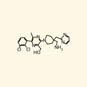 Cc1nc(N2CCC(CN)(Cc3ncccn3)CC2)c(CO)nc1-c1cccc(Cl)c1Cl